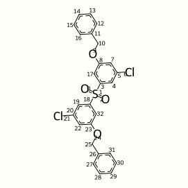 O=S(=O)(c1cc(Cl)cc(OCc2ccccc2)c1)c1cc(Cl)cc(OCc2ccccc2)c1